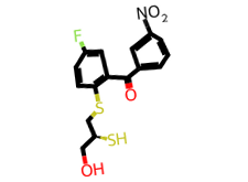 O=C(c1cccc([N+](=O)[O-])c1)c1cc(F)ccc1SC[C@@H](S)CO